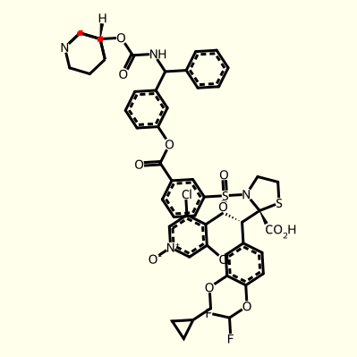 O=C(NC(c1ccccc1)c1cccc(OC(=O)c2cccc(S(=O)(=O)N3CCS[C@]3(C(=O)O)[C@@H](Cc3c(Cl)c[n+]([O-])cc3Cl)c3ccc(OC(F)F)c(OCC4CC4)c3)c2)c1)O[C@H]1CN2CCC1CC2